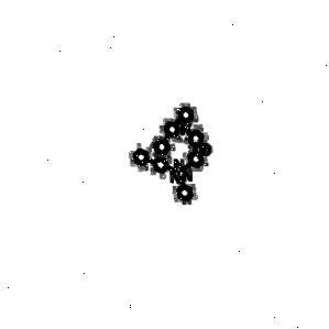 c1ccc(-c2ccc(-c3nc(-c4ccccc4)nc(-c4ccc5oc6ccc(-n7c8ccccc8c8ccc(-c9ccccc9)cc87)cc6c5c4)n3)cc2)cc1